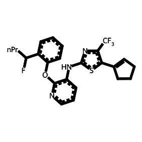 CCCC(F)c1ccccc1Oc1ncccc1Nc1nc(C(F)(F)F)c(C2=CCCC2)s1